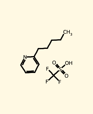 CCCCCc1ccccn1.O=S(=O)(O)C(F)(F)F